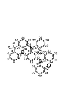 CC1(C)c2ccccc2B2c3ccc4c(c3N(c3ccccc3)c3cccc1c32)Oc1cccc2c1B4c1ccccc1O2